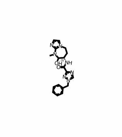 CN1c2nccn2CC[C@H](NC(=O)c2ncn(Cc3ccccc3)n2)C1O